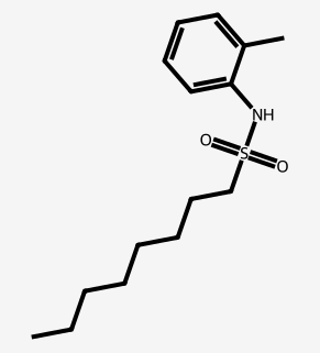 CCCCCCCCS(=O)(=O)Nc1ccccc1C